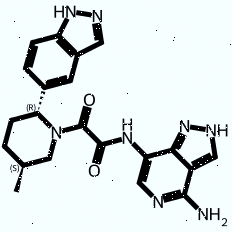 C[C@H]1CC[C@H](c2ccc3[nH]ncc3c2)N(C(=O)C(=O)Nc2cnc(N)c3c[nH]nc23)C1